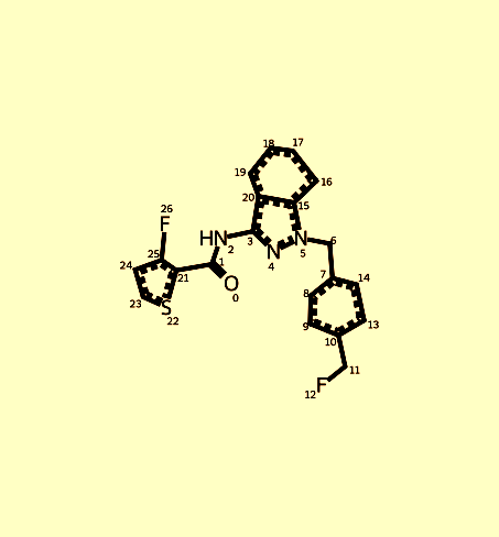 O=C(Nc1nn(Cc2ccc(CF)cc2)c2ccccc12)c1sccc1F